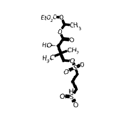 CCOC(=O)OC(C)OC(=O)[C@@H](O)C(C)(C)COS(=O)(=O)CCC[SH](=O)=O